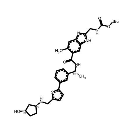 Cc1cc2nc(CNC(=O)OC(C)(C)C)[nH]c2cc1C(=O)N[C@H](C)c1cccc(-c2ccc(CN[C@H]3CC[C@@H](O)C3)s2)c1